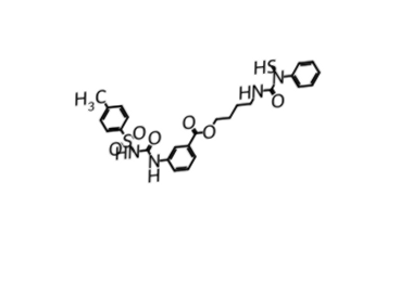 Cc1ccc(S(=O)(=O)NC(=O)Nc2cccc(C(=O)OCCCCNC(=O)N(S)c3ccccc3)c2)cc1